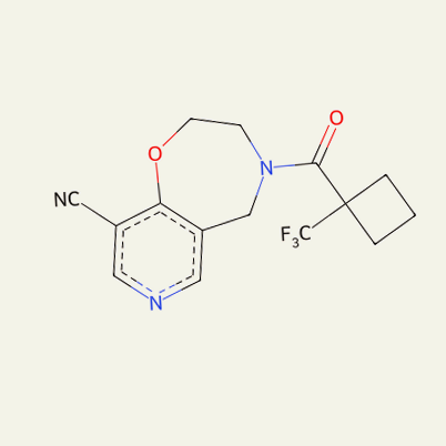 N#Cc1cncc2c1OCCN(C(=O)C1(C(F)(F)F)CCC1)C2